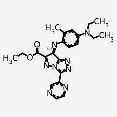 CCOC(=O)C1=Nn2c(nnc2-c2cnccn2)/C1=N\c1ccc(N(CC)CC)cc1C